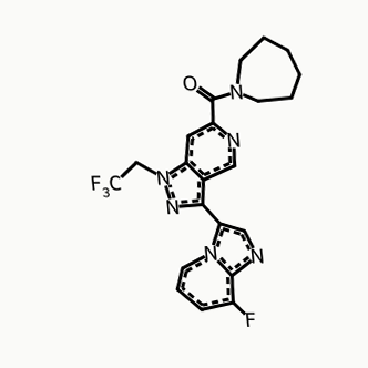 O=C(c1cc2c(cn1)c(-c1cnc3c(F)cccn13)nn2CC(F)(F)F)N1CCCCCC1